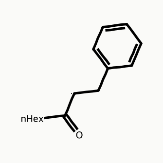 CCCCCCC(=O)[CH]Cc1ccccc1